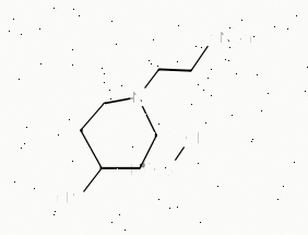 CCCCCCCCCCCN1CCC(CCC)CC1.CS(=O)(=O)O